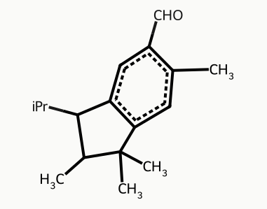 Cc1cc2c(cc1C=O)C(C(C)C)C(C)C2(C)C